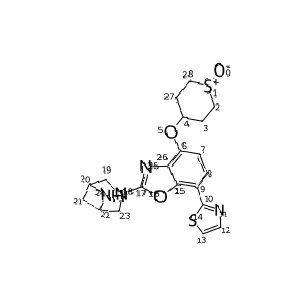 [O-][S+]1CCC(Oc2ccc(-c3nccs3)c3oc(N4CC5CC(C4)N5)nc23)CC1